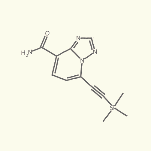 C[Si](C)(C)C#Cc1ccc(C(N)=O)c2n[c]nn12